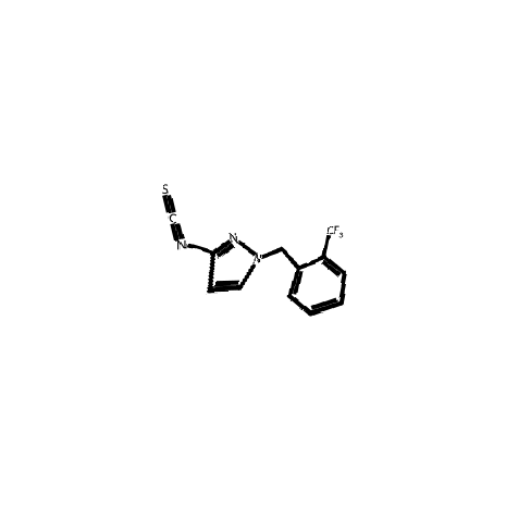 FC(F)(F)c1ccccc1Cn1ccc(N=C=S)n1